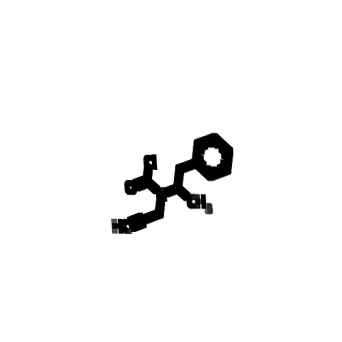 C#CCN(C(=O)Cl)C(C)Cc1ccccc1